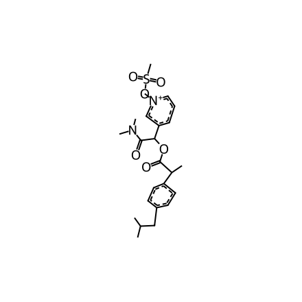 CC(C)Cc1ccc(C(C)C(=O)OC(C(=O)N(C)C)c2ccc[n+](OS(C)(=O)=O)c2)cc1